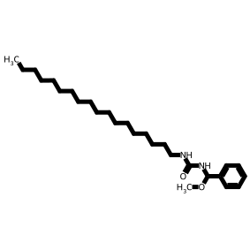 CCCCCCCCCCCCCCCCCCNC(=O)NC(OC)c1ccccc1